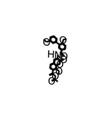 C=C(OC(C)=O)c1ccc2cc(NC(=O)c3ccc(OC)c(-c4cccc(OC)c4)c3)c(=O)oc2c1OC